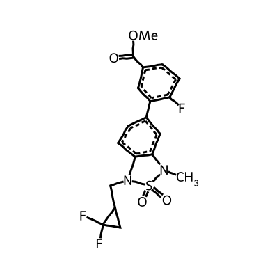 COC(=O)c1ccc(F)c(-c2ccc3c(c2)N(C)S(=O)(=O)N3CC2CC2(F)F)c1